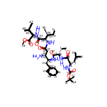 CC[C@H](NC(=O)[C@H](CC(C)C)NC(=O)OC(C)(C)C)C(=O)N[C@@H](Cc1ccccc1)[C@@H](N)CC(=O)N[C@H](C(=O)N[C@H](C(=O)OC)C(C)C)[C@@H](C)CC